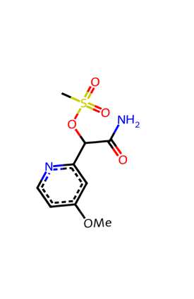 COc1ccnc(C(OS(C)(=O)=O)C(N)=O)c1